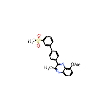 COc1cccc2nc(C)c(-c3ccc(-c4cccc(S(C)(=O)=O)c4)cc3)nc12